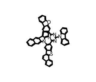 c1ccc2cc3c(cc2c1)c1ccccc1n3-c1cc2c(cc1-c1nc(-c3ccc4c(c3)oc3ccccc34)nc(-n3c4ccccc4c4ccccc43)n1)sc1c3ccccc3ccc21